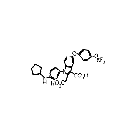 O=C(O)Cc1c(C(=O)O)c2cc(Oc3ccc(OC(F)(F)F)cc3)ccc2n1-c1ccc(NC2CCCC2)cc1